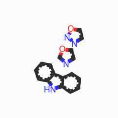 c1ccc2c(c1)[nH]c1ccccc12.c1cocn1.c1conn1